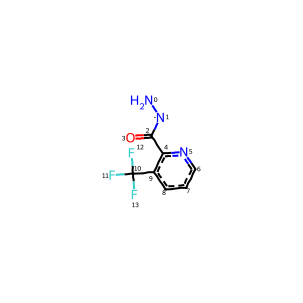 N[N]C(=O)c1ncccc1C(F)(F)F